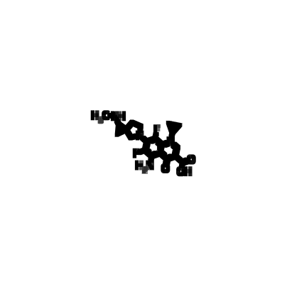 CNC1CC12CCN(c1c(F)c(N)c3c(=O)c(C(=O)O)cn(C4CC4)c3c1F)C2